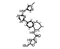 Cn1cc(Nc2ncnc(-c3ccc4c(c3)CCCCC4NC(=O)C3=NOC(C(C)(C)C)N3)n2)cn1